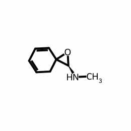 CN[C@@H]1OC12C=CC=CC2